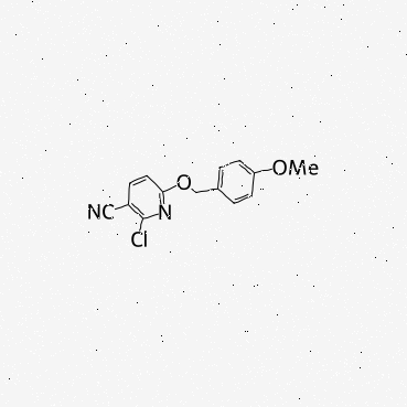 COc1ccc(COc2ccc(C#N)c(Cl)n2)cc1